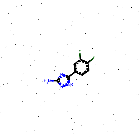 Nc1n[nH]c(-c2ccc(F)c(F)c2)n1